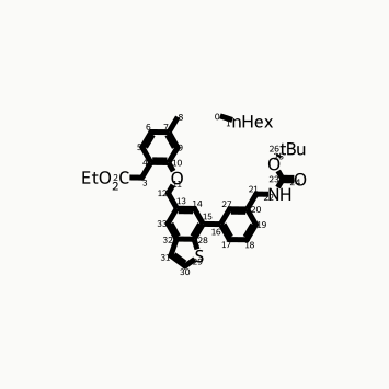 CCCCCCC.CCOC(=O)Cc1ccc(C)cc1OCc1cc(-c2cccc(CNC(=O)OC(C)(C)C)c2)c2sccc2c1